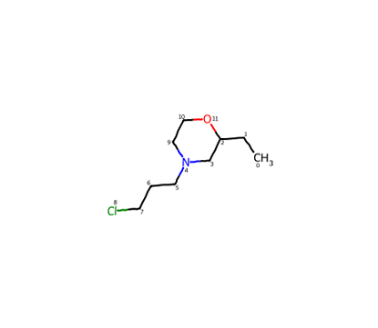 CCC1CN(CCCCl)CCO1